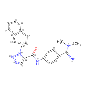 CN(C)C(=N)c1ccc(NC(=O)c2cnnn2-c2ccc3ccccc3c2)cc1